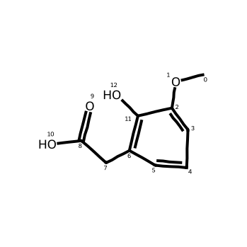 COc1cccc(CC(=O)O)c1O